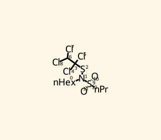 CCCCCCN(SC(Cl)(Cl)C(Cl)Cl)S(=O)(=O)CCC